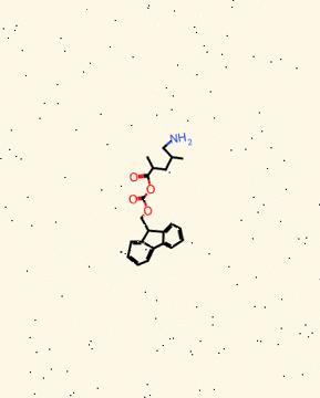 CC(CN)CC(C)C(=O)OC(=O)OCC1c2ccccc2-c2ccccc21